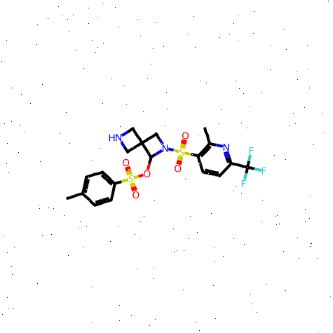 Cc1ccc(S(=O)(=O)OC2N(S(=O)(=O)c3ccc(C(F)(F)F)nc3C)CC23CNC3)cc1